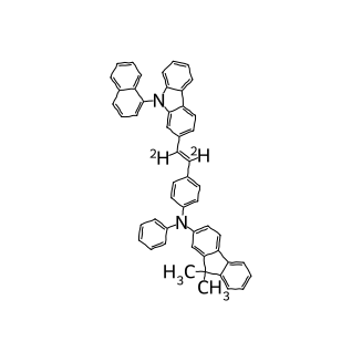 [2H]/C(=C(/[2H])c1ccc2c3ccccc3n(-c3cccc4ccccc34)c2c1)c1ccc(N(c2ccccc2)c2ccc3c(c2)C(C)(C)c2ccccc2-3)cc1